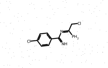 N=C(/N=C(\P)CCl)c1ccc(Cl)cc1